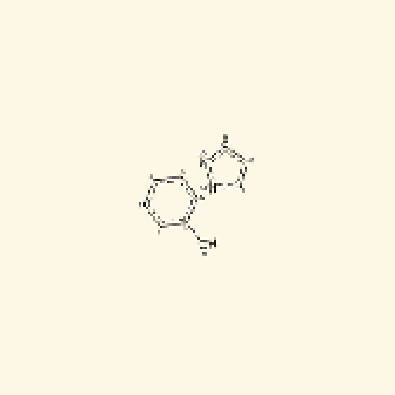 Oc1ccccc1.c1csnn1